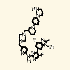 Cc1nc2c(F)cc(-c3nc(Nc4ccc(CN5CCN(CC6CCCN(c7ccc(N8C=CCNC8)cc7)C6)CC5)cn4)ncc3F)cc2n1C(C)C